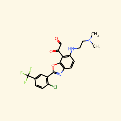 CN(C)CCNc1ccc2nc(-c3cc(C(F)(F)F)ccc3Cl)oc2c1C(=O)C=O